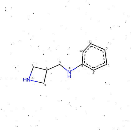 c1ccc(NCC2CNC2)cc1